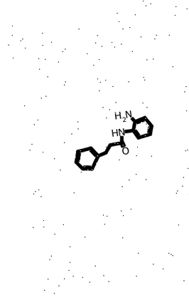 Nc1ccccc1NC(=O)CCc1ccccc1